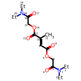 CCN(CC)C(=O)COC(=O)/C=C(\C)C(=O)OCC(=O)N(CC)CC